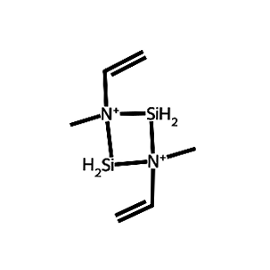 C=C[N+]1(C)[SiH2][N+](C)(C=C)[SiH2]1